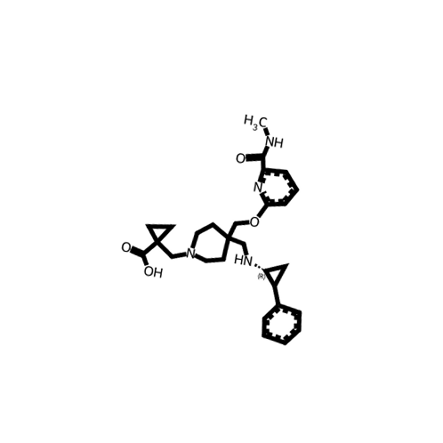 CNC(=O)c1cccc(OCC2(CN[C@@H]3CC3c3ccccc3)CCN(CC3(C(=O)O)CC3)CC2)n1